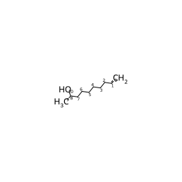 C=CCCCCCCC(C)O